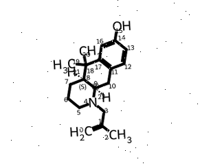 C=C(C)CN1CCC[C@@H]2[C@H]1Cc1ccc(O)cc1C2(C)C